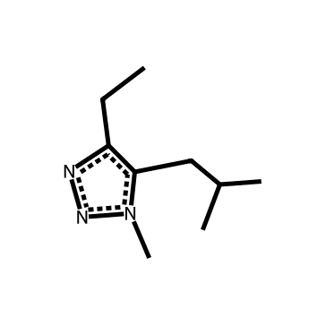 CCc1nnn(C)c1CC(C)C